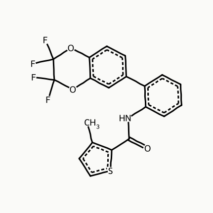 Cc1ccsc1C(=O)Nc1ccccc1-c1ccc2c(c1)OC(F)(F)C(F)(F)O2